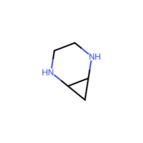 C1CNC2CC2N1